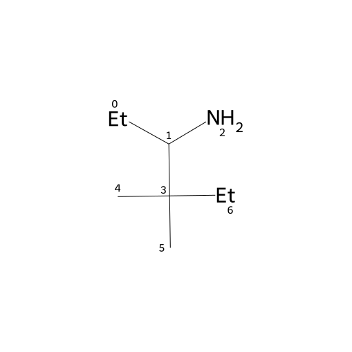 CCC(N)C(C)(C)CC